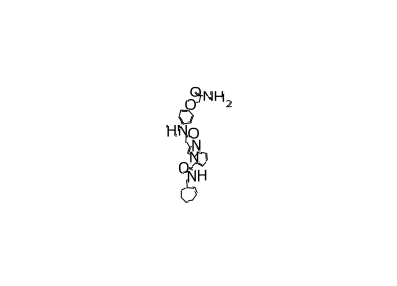 NC(=O)COc1ccc(NC(=O)Cc2cn3c(C(=O)NCC4CCCCCC4)cccc3n2)cc1